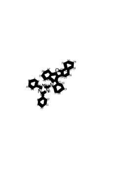 c1ccc(-c2nc(-c3ccccc3)nc(-n3c4ccccc4c4c5c6ccc7ccccc7c6oc5c5ccccc5c43)n2)cc1